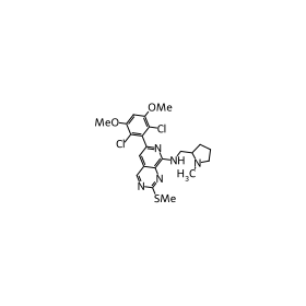 COc1cc(OC)c(Cl)c(-c2cc3cnc(SC)nc3c(NCC3CCCN3C)n2)c1Cl